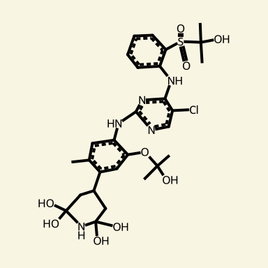 Cc1cc(Nc2ncc(Cl)c(Nc3ccccc3S(=O)(=O)C(C)(C)O)n2)c(OC(C)(C)O)cc1C1CC(O)(O)NC(O)(O)C1